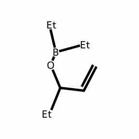 C=CC(CC)OB(CC)CC